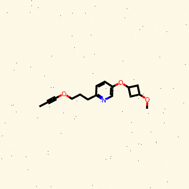 CC#COCCCc1ccc(OC2CC(OC)C2)cn1